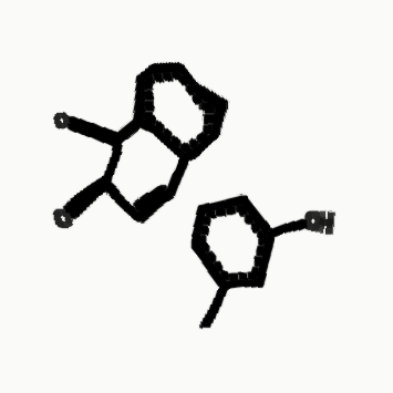 Cc1cccc(O)c1.O=C1C=Cc2ccccc2C1=O